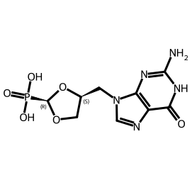 Nc1nc2c(ncn2C[C@H]2CO[C@@H](P(=O)(O)O)O2)c(=O)[nH]1